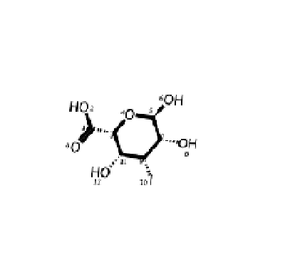 O=C(O)[C@@H]1O[C@@H](O)[C@H](O)[C@H](I)[C@@H]1O